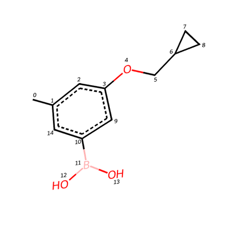 Cc1cc(OCC2CC2)cc(B(O)O)c1